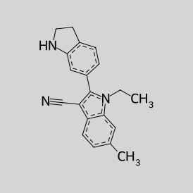 CCn1c(-c2ccc3c(c2)NCC3)c(C#N)c2ccc(C)cc21